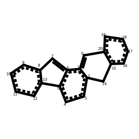 C1=c2c(ccc3c2=Cc2ccccc2-3)Cc2ccccc21